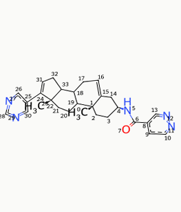 C[C@]12CC[C@H](NC(=O)c3ccnnc3)CC1=CCC1C2CC[C@]2(C)C(c3cncnc3)=CCC12